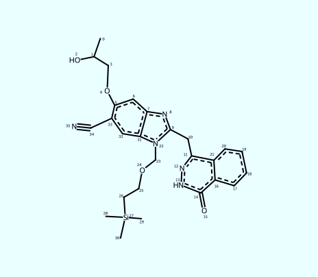 CC(O)COc1cc2nc(Cc3n[nH]c(=O)c4ccccc34)n(COCC[Si](C)(C)C)c2cc1C#N